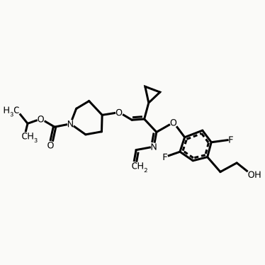 C=C/N=C(Oc1cc(F)c(CCO)cc1F)\C(=C\OC1CCN(C(=O)OC(C)C)CC1)C1CC1